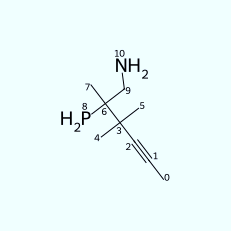 CC#CC(C)(C)C(C)(P)CN